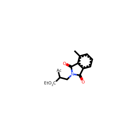 CCOC(=O)C(CN1C(=O)c2cccc(C)c2C1=O)C(C)=O